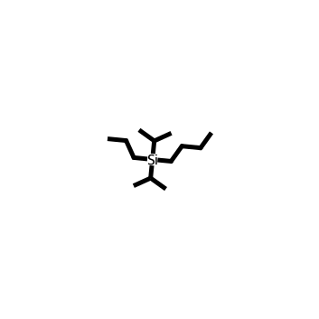 CCCC[Si](CCC)(C(C)C)C(C)C